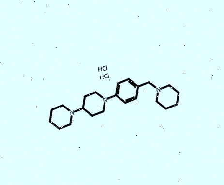 Cl.Cl.c1cc(N2CCC(N3CCCCC3)CC2)ccc1CN1CCCCC1